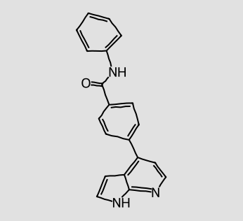 O=C(Nc1ccccc1)c1ccc(-c2ccnc3[nH]ccc23)cc1